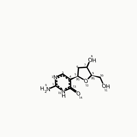 Nc1ncc([C@H]2CC(O)[C@@H](CO)O2)c(=O)[nH]1